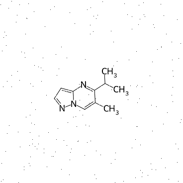 Cc1cn2nccc2nc1C(C)C